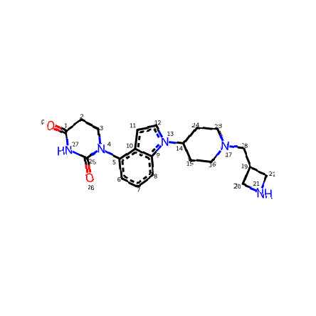 O=C1CCN(c2cccc3c2ccn3C2CCN(CC3CNC3)CC2)C(=O)N1